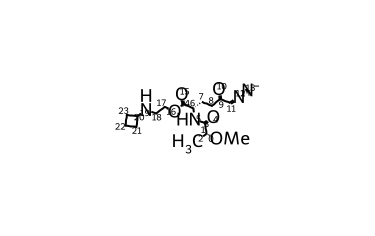 CO[C@H](C)C(=O)N[C@@H](CCC(=O)C=[N+]=[N-])C(=O)OCCNC1CCC1